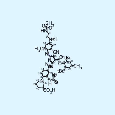 CCN(CCNS(C)(=O)=O)c1ccc(/N=C2\C(C#N)=C(C(=O)OC3C(C(C)(C)C)CC(C)CC3C(C)(C)C)c3nc(-c4ccc(N5CCCC(C(=O)O)C5)c(N[SH](=O)=O)c4)nn32)c(C)c1